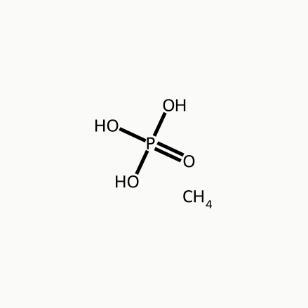 C.O=P(O)(O)O